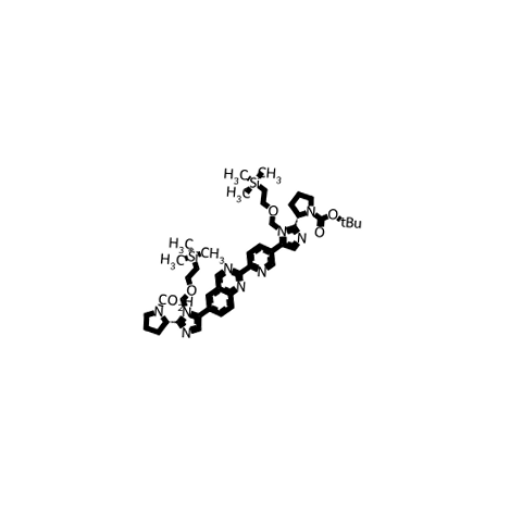 CC(C)(C)OC(=O)N1CCC[C@H]1c1ncc(-c2ccc(-c3ncc4cc(-c5cnc([C@@H]6CCCN6C(=O)O)n5COCC[Si](C)(C)C)ccc4n3)nc2)n1COCC[Si](C)(C)C